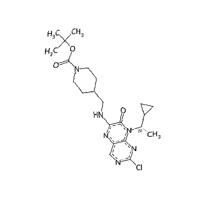 C[C@@H](C1CC1)n1c(=O)c(NCC2CCN(C(=O)OC(C)(C)C)CC2)nc2cnc(Cl)nc21